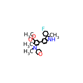 CCN(c1cc(-c2ccc3c(c2)C2(CCC(F)CC2)C(C)N3)cc(C(=O)OC)c1C)C1CCOCC1